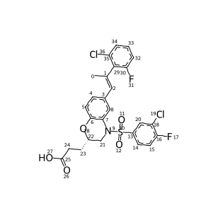 C/C(=C\c1ccc2c(c1)N(S(=O)(=O)c1ccc(F)c(Cl)c1)C[C@H](CCC(=O)O)O2)c1c(F)cccc1Cl